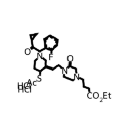 CCOC(=O)CCCN1CCN(C/C=C2\CN(C(C(=O)C3CC3)c3ccccc3F)CCC2SC(C)=O)C(=O)C1.Cl.Cl